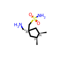 C[C@@H]1C[C@](CN)(CS(N)(=O)=O)C[C@@H]1C